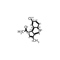 CC(=O)n1cc(C)c2cnc3ccc(Cl)cc3c21